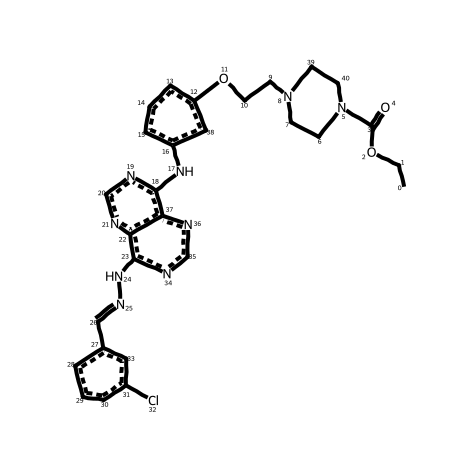 CCOC(=O)N1CCN(CCOc2cccc(Nc3ncnc4c(NN=Cc5cccc(Cl)c5)ncnc34)c2)CC1